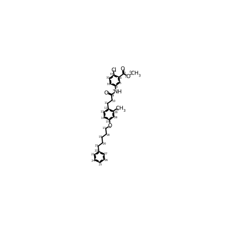 COC(=O)c1cc(NC(=O)CCc2ccc(OCCCCCc3ccccc3)cc2C)ccc1Cl